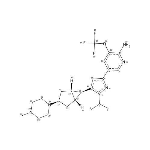 CC(C)n1nc(-c2cnc(N)c(OC(F)(F)F)c2)cc1[C@H]1[C@@H]2C[C@@H](N3CCN(C)CC3)C[C@@H]21